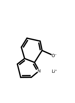 [Li+].[O-]c1cccc2cccnc12